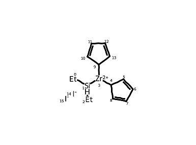 CC[SiH](CC)[Zr+2]([CH]1C=CC=C1)[CH]1C=CC=C1.[I-].[I-]